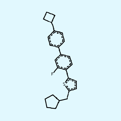 Fc1cc(-c2ccc(C3CCC3)cc2)ccc1-c1ccc(CC2CCCC2)s1